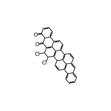 O=C1C=CC=C2c3ccc4c5c3=C(C(=O)C12)C(Cl)C(Cl)C=5C1C=Cc2c3ccccc3cc3ccc-4c1c23